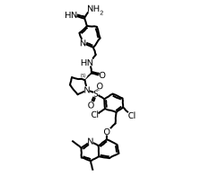 Cc1cc(C)c2cccc(OCc3c(Cl)ccc(S(=O)(=O)N4CCC[C@H]4C(=O)NCc4ccc(C(=N)N)cn4)c3Cl)c2n1